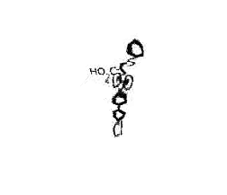 O=C(O)[C@@H](CSc1ccccc1)CS(=O)(=O)c1ccc(-c2ccc(Cl)cc2)cc1